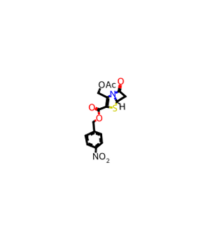 CC(=O)OCC1=C(C(=O)OCc2ccc([N+](=O)[O-])cc2)S[C@@H]2CC(=O)N12